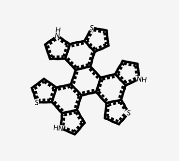 c1cc2c([nH]1)c1sccc1c1c3c4cc[nH]c4c4sccc4c3c3c4cc[nH]c4c4sccc4c3c21